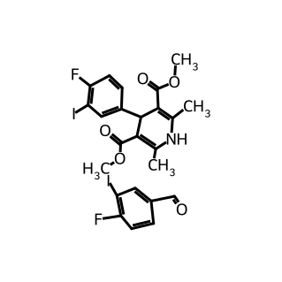 COC(=O)C1=C(C)NC(C)=C(C(=O)OC)C1c1ccc(F)c(I)c1.O=Cc1ccc(F)c(I)c1